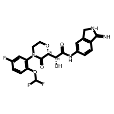 N=C1NCc2cc(NC(=O)[C@H](O)[C@H]3OCCN(c4cc(F)ccc4OC(F)F)C3=O)ccc21